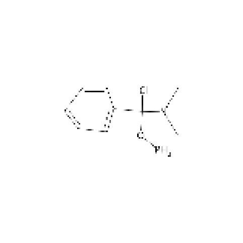 CN(C)C(Cl)(OP)c1ccccc1